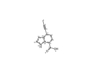 CC#Cc1ccc(C(=O)O)c2[nH]ncc12